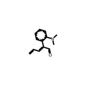 C=C/C=C(/C=O)c1ccccc1N(C)C